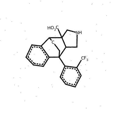 O=C(O)C12CNCC1C1(c3ccccc3C(F)(F)F)CCC2c2ccccc21